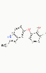 CCOC(=O)c1cc2cc(Oc3cccc(Cl)c3Br)ccc2[nH]1